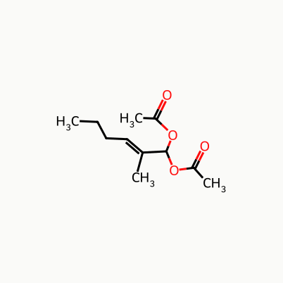 CCC/C=C(\C)C(OC(C)=O)OC(C)=O